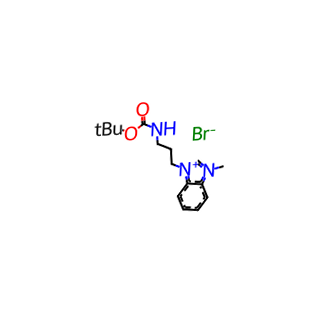 Cn1c[n+](CCCNC(=O)OC(C)(C)C)c2ccccc21.[Br-]